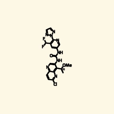 CO[C@@H](C)c1c(NC(=O)Nc2cnc(-n3nccn3)c(C(F)F)c2)cnc2ccc(Cl)nc12